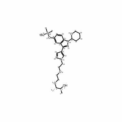 C[C@H](O)[C@H](C)OCCOCCn1cc(-c2nn(C3CCCCO3)c3ccc(O[Si](C)(C)C(C)(C)C)cc23)cn1